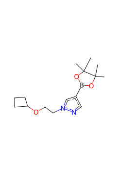 CC1(C)OB(c2cnn(CCOC3CCC3)c2)OC1(C)C